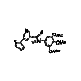 COc1cc(NC(=O)c2cncc(-c3cccs3)c2)cc(OC)c1OC